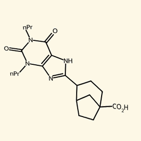 CCCn1c(=O)c2[nH]c(C3CCC4(C(=O)O)CCC3C4)nc2n(CCC)c1=O